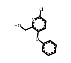 OCc1nc(Cl)ccc1Oc1ccccc1